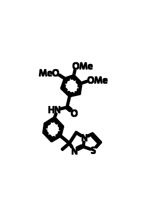 COc1cc(C(=O)Nc2cccc(C3(C)CN4C=CSC4=N3)c2)cc(OC)c1OC